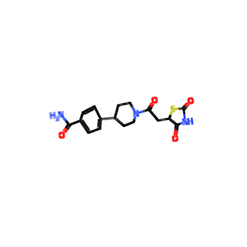 NC(=O)c1ccc(C2CCN(C(=O)CC3SC(=O)NC3=O)CC2)cc1